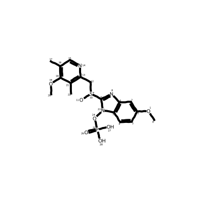 COc1ccc2c(c1)nc([S+]([O-])Cc1ncc(C)c(OC)c1C)n2OP(=O)(O)O